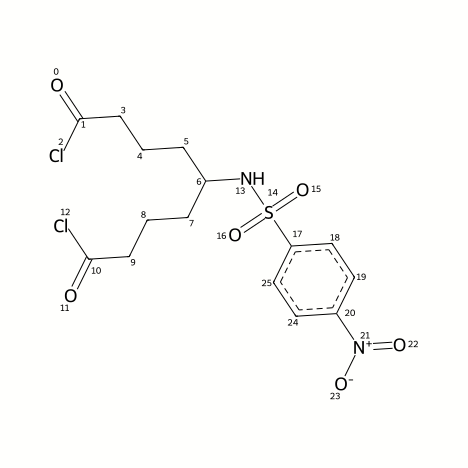 O=C(Cl)CCCC(CCCC(=O)Cl)NS(=O)(=O)c1ccc([N+](=O)[O-])cc1